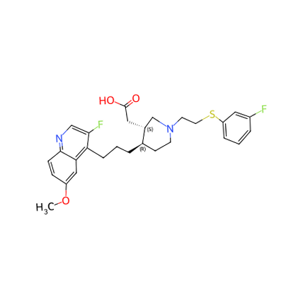 COc1ccc2ncc(F)c(CCC[C@@H]3CCN(CCSc4cccc(F)c4)C[C@H]3CC(=O)O)c2c1